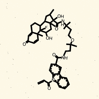 C=CC(=O)n1c2ccccc2c2cc(C(=O)NCCC(C)(C)OCCC(C)(C)NC(=O)C3(O)C(C)CC4C5CCC6=CC(=O)C=CC6(C)C5(F)C(O)CC43C)ccc21